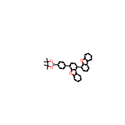 CC1(C)OB(c2ccc(-c3ccc(-c4cccc5c4oc4ccccc45)c4c3oc3ccccc34)cc2)OC1(C)C